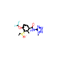 CC[S+]([O-])c1c(OC(F)F)ccc(C(=O)Nc2nnnn2C)c1C